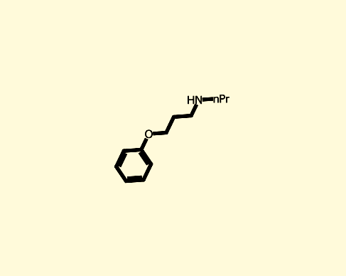 CCCNCCCOc1ccccc1